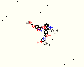 CCOCCOc1ccc2c(COc3cccc4[nH]c(C(=O)O)c(C5(C(N)=O)CCC(O)(CCN6CC[C@H](O)[C@@H](C)C6)CC5)c34)coc2c1